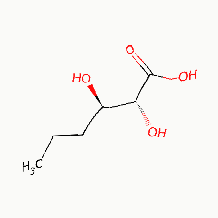 CCC[C@@H](O)[C@@H](O)C(=O)O